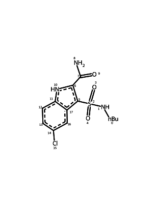 CCCCNS(=O)(=O)c1c(C(N)=O)[nH]c2ccc(Cl)cc12